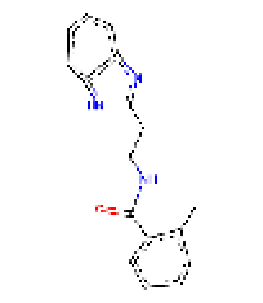 Cc1ccccc1C(=O)NCCc1nc2ccccc2[nH]1